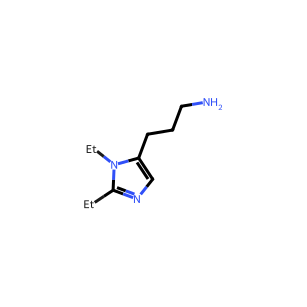 CCc1ncc(CCCN)n1CC